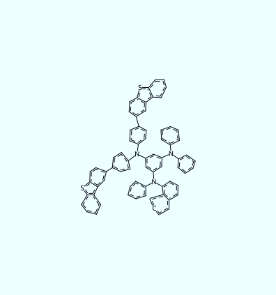 c1ccc(N(c2ccccc2)c2cc(N(c3ccc(-c4ccc5sc6ccccc6c5c4)cc3)c3ccc(-c4ccc5sc6ccccc6c5c4)cc3)cc(N(c3ccccc3)c3cccc4ccccc34)c2)cc1